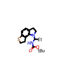 CCC(NC(=O)OC(C)(C)C)N1CCc2ccc3c(c21)CCS3